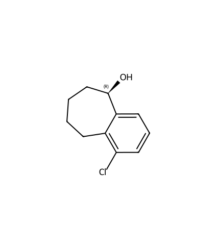 O[C@@H]1CCCCc2c(Cl)cccc21